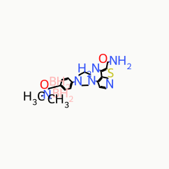 BC(B)(C(=O)N(C)C)c1ccc(N2CCCN(c3ccnc4sc(C(N)=O)c(N)c34)CC2)cc1